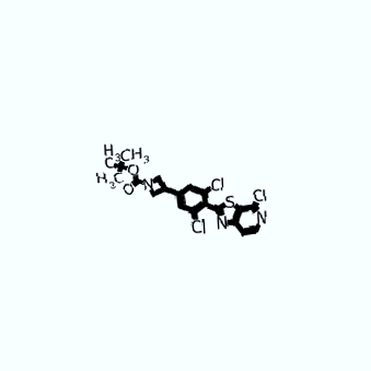 CC(C)(C)OC(=O)N1CC(c2cc(Cl)c(-c3nc4ccnc(Cl)c4s3)c(Cl)c2)C1